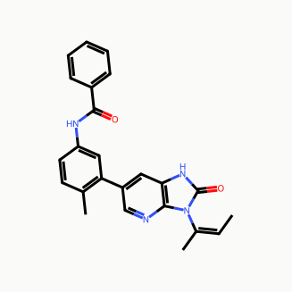 C/C=C(/C)n1c(=O)[nH]c2cc(-c3cc(NC(=O)c4ccccc4)ccc3C)cnc21